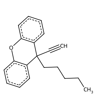 C#CC1(CCCCC)c2ccccc2Oc2ccccc21